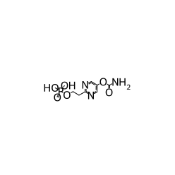 NC(=O)Oc1cnc(CCOP(=O)(O)O)nc1